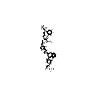 CC(C)(C)OC(=O)N(CCCN(C(=O)OC(C)(C)C)C1CCCCC1)CCCn1cc(CNc2nc(N3CCN(CCC(=O)O)CC3)c3ccccc3n2)nn1